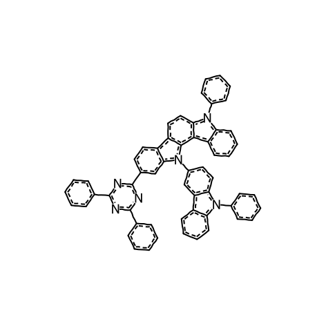 c1ccc(-c2nc(-c3ccccc3)nc(-c3ccc4c5ccc6c(c7ccccc7n6-c6ccccc6)c5n(-c5ccc6c(c5)c5ccccc5n6-c5ccccc5)c4c3)n2)cc1